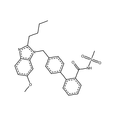 CCCCc1nc2ccc(OC)cc2n1Cc1ccc(-c2ccccc2C(=O)NS(C)(=O)=O)cc1